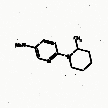 CNc1ccc(N2CCCCC2C)nc1